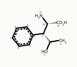 CC(O)[C@H](c1ccccc1)[C@H](N)C(=O)O